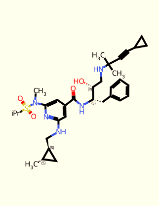 CC(C)S(=O)(=O)N(C)c1cc(C(=O)N[C@@H](Cc2ccccc2)[C@H](O)CNC(C)(C)C#CC2CC2)cc(NC[C@H]2C[C@@H]2C)n1